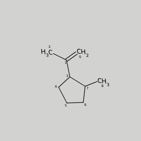 C=C(C)C1CCCC1C